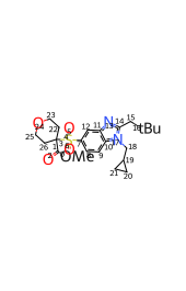 COC(=O)C1(S(=O)(=O)c2ccc3c(c2)nc(CC(C)(C)C)n3CC2CC2)CCOCC1